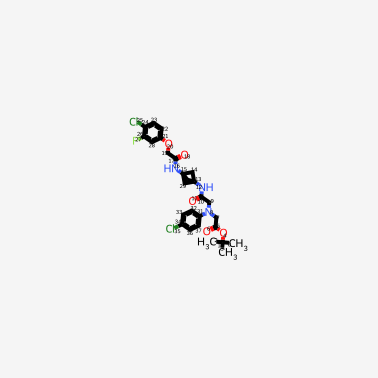 CC(C)(C)OC(=O)CN(CC(=O)NC12CC(NC(=O)COc3ccc(Cl)c(F)c3)(C1)C2)c1ccc(Cl)cc1